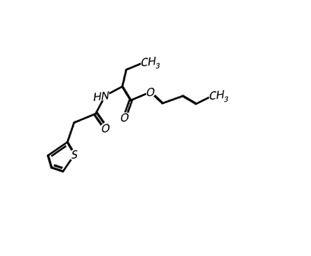 CCCCOC(=O)C(CC)NC(=O)Cc1cccs1